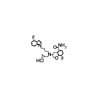 Cl.NC(=O)c1ccc(F)c2c1CC(N(CCCCn1ccc3c(F)cccc31)CC1CC1)CO2